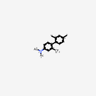 CC(=O)N(C(C)=O)c1ccc(-c2ccc(C)cc2C)c(C(F)(F)F)c1